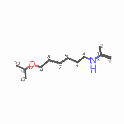 C=C(C)NCCCCCCOC(C)C